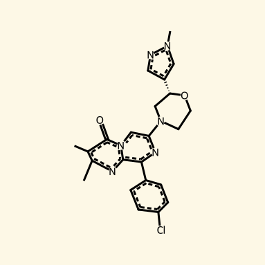 Cc1nc2c(-c3ccc(Cl)cc3)nc(N3CCO[C@@H](c4cnn(C)c4)C3)cn2c(=O)c1C